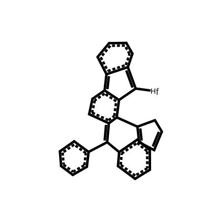 [Hf][C]1=c2ccccc2=c2ccc(=C(c3ccccc3)c3ccccc3)c(C3=CC=CC3)c21